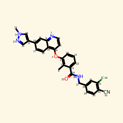 Cc1c(Oc2ccnc3cc(-c4cnn(C)c4)ccc23)cccc1C(=O)NCc1ccc(C#N)c(F)c1